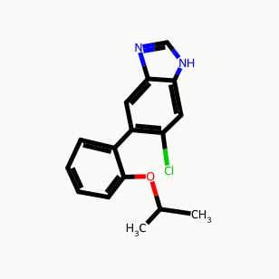 CC(C)Oc1ccccc1-c1cc2nc[nH]c2cc1Cl